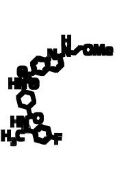 COCCNc1ccc2cc(S(=O)(=O)NC3CCC(C(=O)N[C@H](C)c4ccc(F)cc4)CC3)ccc2n1